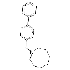 c1ccc(-c2ccc(CN3CCCCCCC3)cc2)cc1